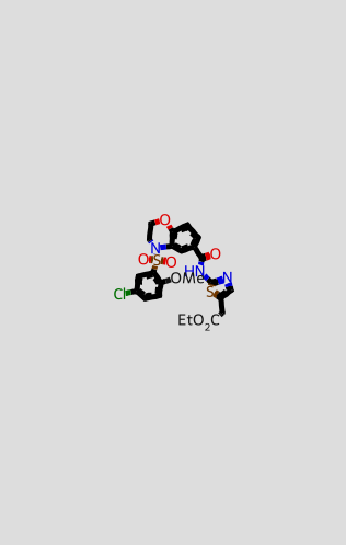 CCOC(=O)Cc1cnc(NC(=O)c2ccc3c(c2)N(S(=O)(=O)c2cc(Cl)ccc2OC)CCO3)s1